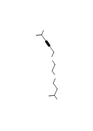 CC(C)C#CCOCCOCCC(C)C